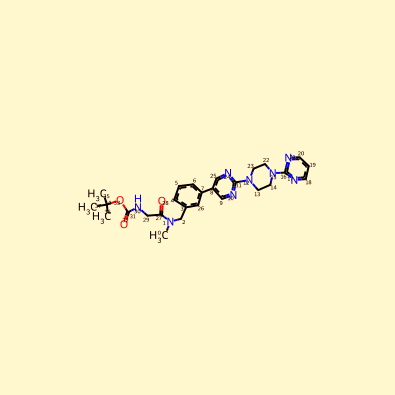 CN(Cc1cccc(-c2cnc(N3CCN(c4ncccn4)CC3)nc2)c1)C(=O)CNC(=O)OC(C)(C)C